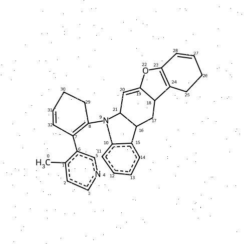 Cc1ccncc1C1=C(N2c3ccccc3C3CC4C(=CC32)OC2=C4CCC=C2)CCC=C1